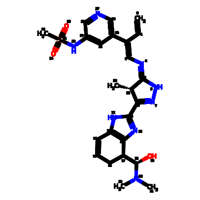 C=C/C(=C\N=C1\NN=C(c2nc3c([nH]2)C=CCC3[C@@H](O)N(C)C)[C@@H]1C)c1cncc(NS(C)(=O)=O)c1